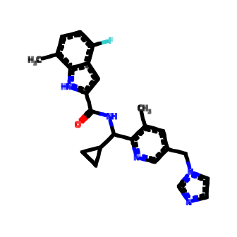 Cc1cc(Cn2ccnc2)cnc1C(NC(=O)c1cc2c(F)ccc(C)c2[nH]1)C1CC1